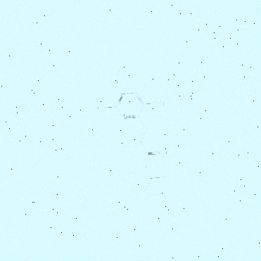 COc1cc(Br)c(CCC(=O)OC(C)C)cc1OC